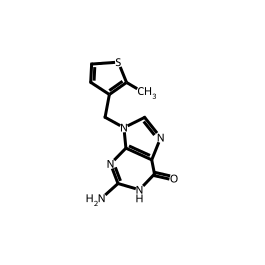 Cc1sccc1Cn1cnc2c(=O)[nH]c(N)nc21